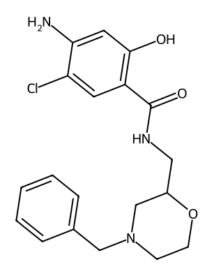 Nc1cc(O)c(C(=O)NCC2CN(Cc3ccccc3)CCO2)cc1Cl